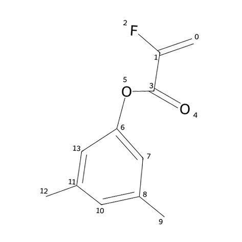 C=C(F)C(=O)Oc1cc(C)cc(C)c1